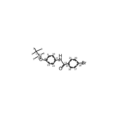 CC(C)(C)[Si](C)(C)Oc1ccc(NC(=O)c2ccc(Br)cc2)cc1